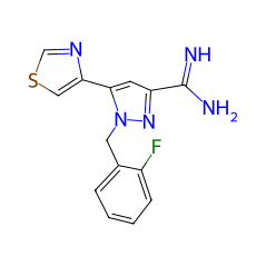 N=C(N)c1cc(-c2cscn2)n(Cc2ccccc2F)n1